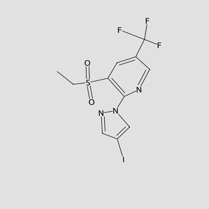 CCS(=O)(=O)c1cc(C(F)(F)F)cnc1-n1cc(I)cn1